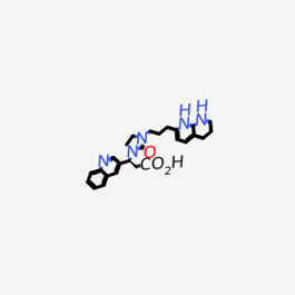 O=C(O)C[C@@H](c1cnc2ccccc2c1)N1CCN(CCCC2=CC=C3CCCNC3N2)C1=O